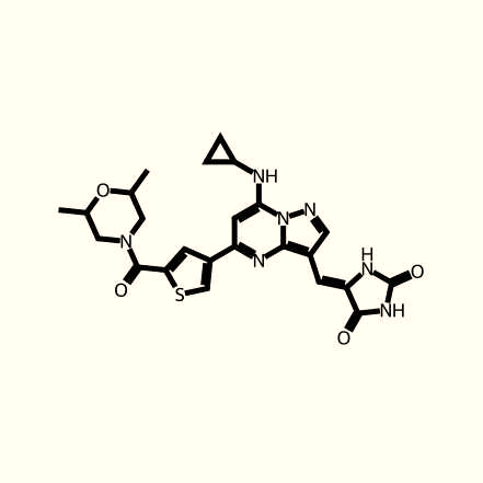 CC1CN(C(=O)c2cc(-c3cc(NC4CC4)n4ncc(/C=C5\NC(=O)NC5=O)c4n3)cs2)CC(C)O1